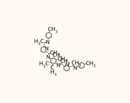 C/C(=N\c1ccc(C)cc1)c1cccc(/C(C)=N/c2c(C)c(C)c(/N=C(\C)c3cccc(/C(C)=N/c4ccc(C)cc4)n3)c(C)c2C)n1